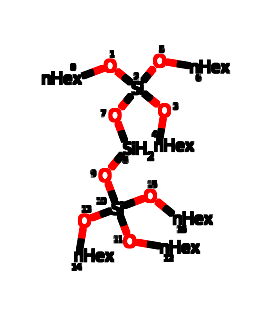 CCCCCCO[Si](OCCCCCC)(OCCCCCC)O[SiH2]O[Si](OCCCCCC)(OCCCCCC)OCCCCCC